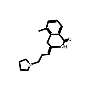 Cc1cccc2c1CC(=CCCN1CCCC1)NC2=O